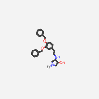 CCN1CC(O)C(NCCc2ccc(OCc3ccccc3)c(OCc3ccccc3)c2)C1